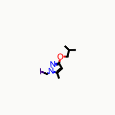 Cc1cc(OCC(C)C)nn1CI